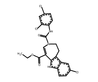 CCOC(=O)C1=CN(C(=O)Nc2ccc(Cl)cc2Cl)CCc2c1[nH]c1ccc(Cl)cc21